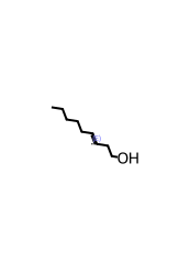 CCCCC/C=[C]/CCO